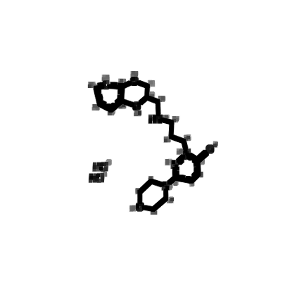 Cl.Cl.O=c1ccc(N2CCOCC2)nn1CCCNCC1COc2ccccc2O1